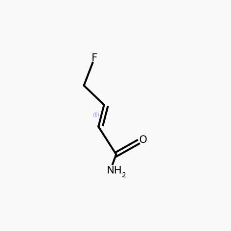 NC(=O)/C=C/CF